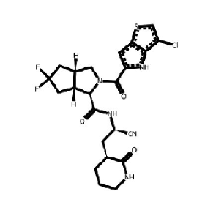 N#C[C@@H](C[C@@H]1CCCNC1=O)NC(=O)[C@H]1[C@@H]2CC(F)(F)C[C@@H]2CN1C(=O)c1cc2scc(Cl)c2[nH]1